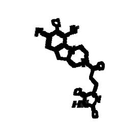 O=C1N=C(CCC(=O)N2CCN3c4c(cc(F)c(Cl)c4Br)CC3C2)C(=O)N1